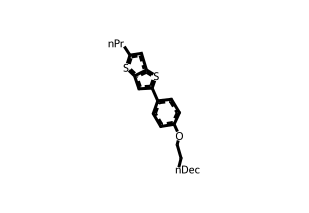 CCCCCCCCCCCCOc1ccc(-c2cc3sc(CCC)cc3s2)cc1